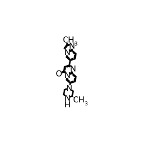 Cc1cn2cc(-c3cc(=O)n4cc(N5CCN[C@@H](C)C5)ccc4n3)ccc2n1